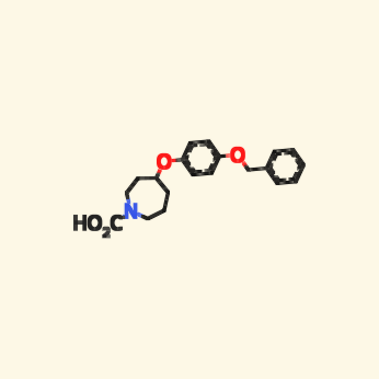 O=C(O)N1CCCC(Oc2ccc(OCc3ccccc3)cc2)CC1